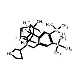 CC(C)(C)C(P)(c1cc([Si](C)(C)C)c([Si](C)(C)C)cc1CP(C1CCNC1)C1CCNC1)C(C)(C)C